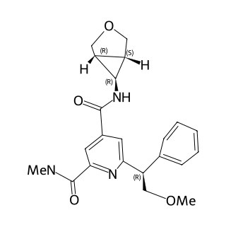 CNC(=O)c1cc(C(=O)N[C@H]2[C@@H]3COC[C@@H]32)cc([C@H](COC)c2ccccc2)n1